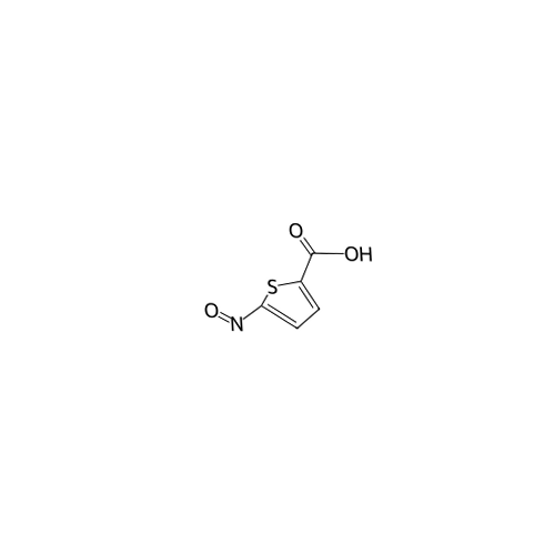 O=Nc1ccc(C(=O)O)s1